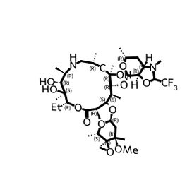 CC[C@H]1OC(=O)[C@H](C)[C@@H](O[C@H]2C[C@@](C)(OC)[C@]3(CO3)[C@H](C)O2)[C@H](C)[C@@H](O[C@@H]2O[C@H](C)C[C@H]3[C@H]2OC(C(F)(F)F)N3C)[C@](C)(O)C[C@@H](C)CN[C@H](C)[C@@H](O)[C@]1(C)O